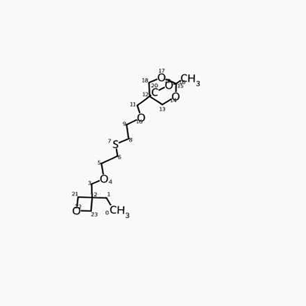 CCC1(COCCSCCOCC23COC(C)(OC2)OC3)COC1